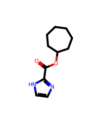 O=C(OC1CCCCCC1)c1ncc[nH]1